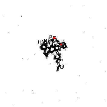 C=CC(=O)N1CC2(CCN(c3nc(OC4C5CC4CN(CCOC)C5)nc4c(OCC(F)(F)F)c(-c5c(C)ccc6[nH]ncc56)c(C5CC5)cc34)CC2)C1